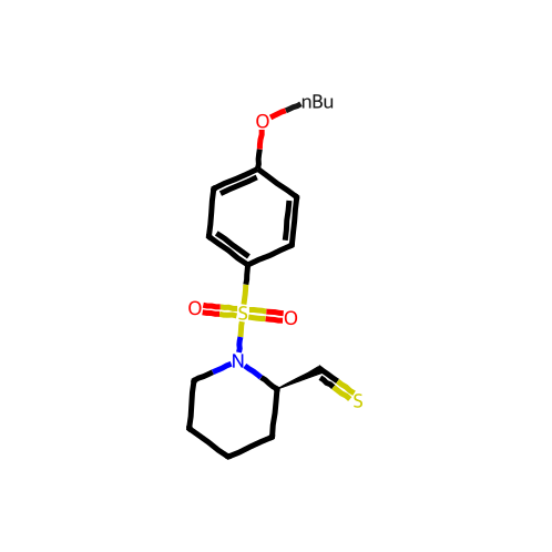 CCCCOc1ccc(S(=O)(=O)N2CCCC[C@@H]2C=S)cc1